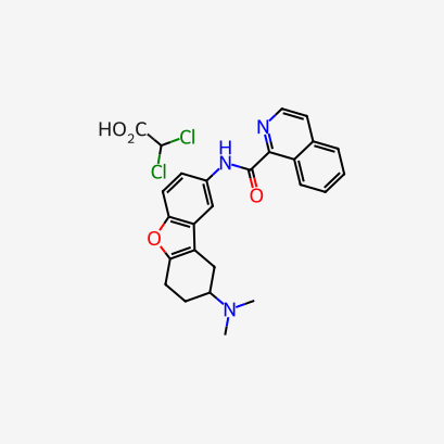 CN(C)C1CCc2oc3ccc(NC(=O)c4nccc5ccccc45)cc3c2C1.O=C(O)C(Cl)Cl